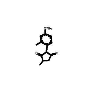 COc1ccc(C2C(=O)CC(C)C2=O)c(C)c1